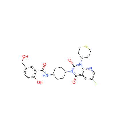 O=C(NC1CCC(n2c(=O)c3cc(F)cnc3n(C3CCSCC3)c2=O)CC1)c1cc(CO)ccc1O